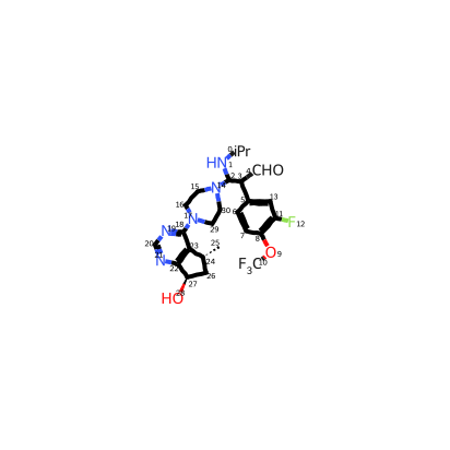 CC(C)NC(C(C=O)c1ccc(OC(F)(F)F)c(F)c1)N1CCN(c2ncnc3c2[C@H](C)C[C@H]3O)CC1